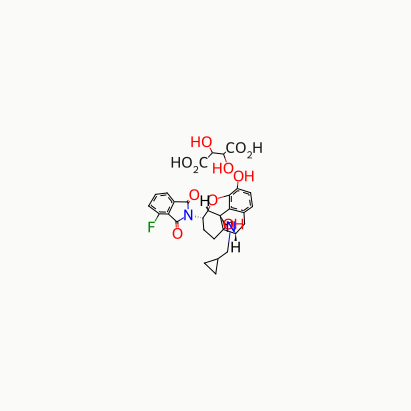 O=C(O)C(O)C(O)C(=O)O.O=C1c2cccc(F)c2C(=O)N1[C@H]1CCC2(O)[C@H]3Cc4ccc(O)c5c4[C@@]2(CCN3CC2CC2)[C@H]1O5